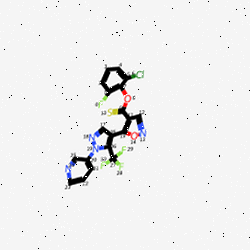 Fc1cccc(Cl)c1OC(=S)c1cnoc1-c1cnn(-c2cccnc2)c1C(F)(F)F